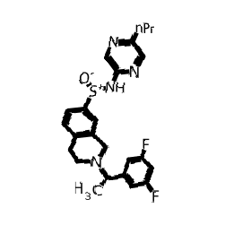 CCCc1cnc(N[S+]([O-])c2ccc3c(c2)CN([C@H](C)c2cc(F)cc(F)c2)CC3)cn1